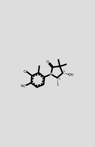 Cc1c(N2C(=O)C(C)(C)[C@H](O)[C@@H]2C)ccc(C#N)c1Cl